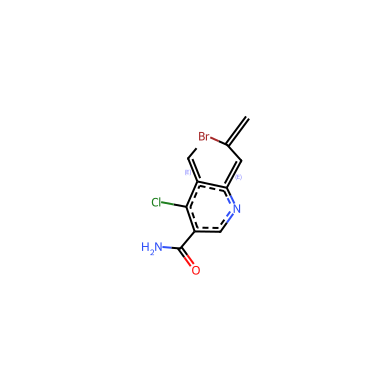 C=C(Br)/C=c1/ncc(C(N)=O)c(Cl)/c1=C/C